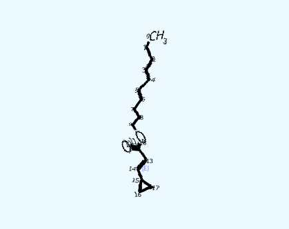 CCCCCCCCCCOC(=O)/C=C/C1CC1